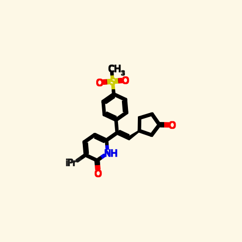 CC(C)c1ccc(/C(=C/[C@H]2CCC(=O)C2)c2ccc(S(C)(=O)=O)cc2)[nH]c1=O